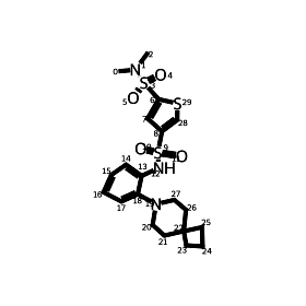 CN(C)S(=O)(=O)c1cc(S(=O)(=O)Nc2ccccc2N2CCC3(CCC3)CC2)cs1